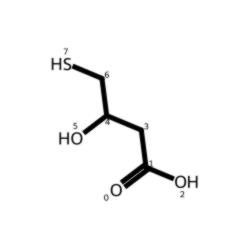 O=C(O)CC(O)CS